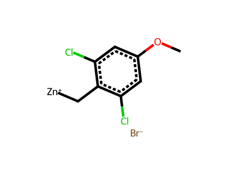 COc1cc(Cl)c([CH2][Zn+])c(Cl)c1.[Br-]